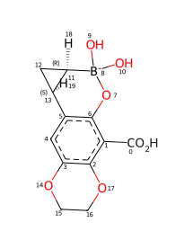 O=C(O)c1c2c(cc3c1O[B-](O)(O)[C@@H]1C[C@H]31)OCCO2